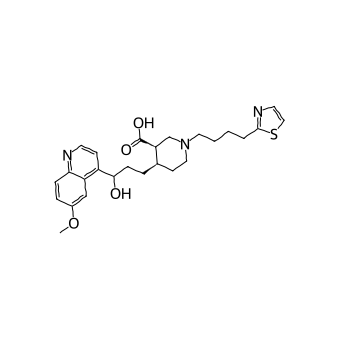 COc1ccc2nccc(C(O)CC[C@@H]3CCN(CCCCc4nccs4)C[C@@H]3C(=O)O)c2c1